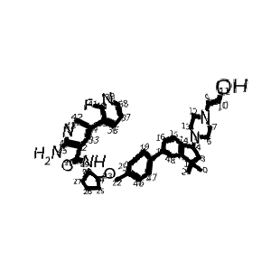 CC1(C)CC(N2CCN(CCO)CC2)c2ccc(-c3ccc(CO[C@H]4CCC[C@@H]4NC(=O)c4cc(-c5cccnc5F)cnc4N)cc3)cc21